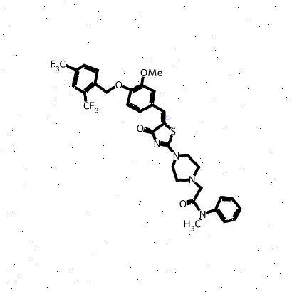 COc1cc(/C=C2/SC(N3CCN(CC(=O)N(C)c4ccccc4)CC3)=NC2=O)ccc1OCc1ccc(C(F)(F)F)cc1C(F)(F)F